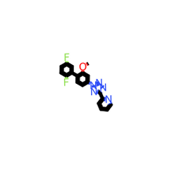 COc1cc(-n2nnc(-c3ccccn3)n2)ccc1-c1cc(F)ccc1F